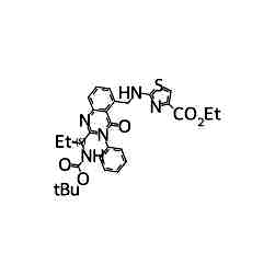 CCOC(=O)c1csc(NCc2cccc3nc([C@H](CC)NC(=O)OC(C)(C)C)n(-c4ccccc4)c(=O)c23)n1